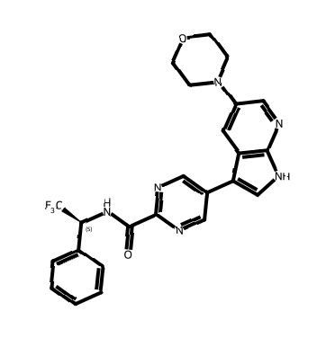 O=C(N[C@@H](c1ccccc1)C(F)(F)F)c1ncc(-c2c[nH]c3ncc(N4CCOCC4)cc23)cn1